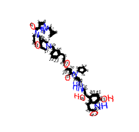 O=C(c1ccn(CC2CC2)n1)N1CCOC2(CCN(Cc3cccc(CCOCCC(=O)N(CCNCC(O)c4ccc(O)c5[nH]c(=O)ccc45)C4CCCC4)c3)CC2)C1